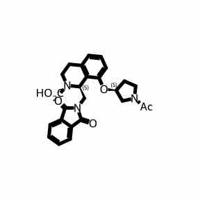 CC(=O)N1CC[C@H](Oc2cccc3c2[C@@H](CN2C(=O)c4ccccc4C2=O)N(C(=O)O)CC3)C1